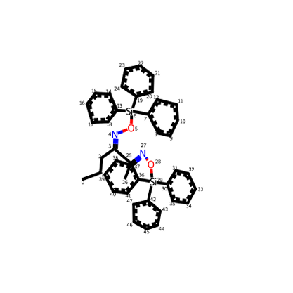 CCCC(=NO[Si](c1ccccc1)(c1ccccc1)c1ccccc1)C(C)=NO[Si](c1ccccc1)(c1ccccc1)c1ccccc1